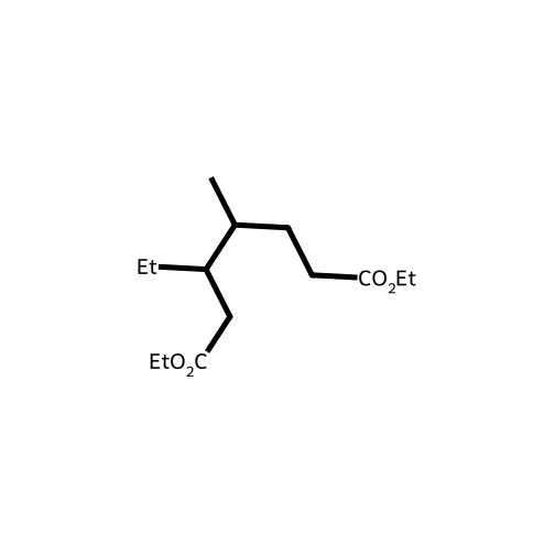 CCOC(=O)CCC(C)C(CC)CC(=O)OCC